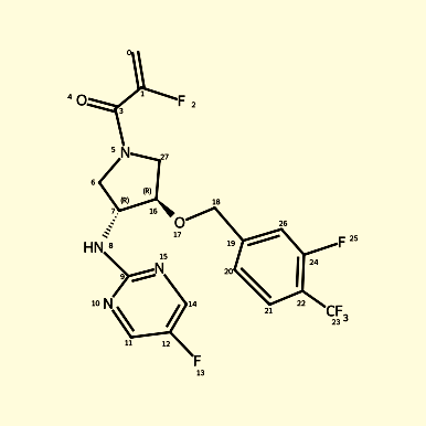 C=C(F)C(=O)N1C[C@@H](Nc2ncc(F)cn2)[C@H](OCc2ccc(C(F)(F)F)c(F)c2)C1